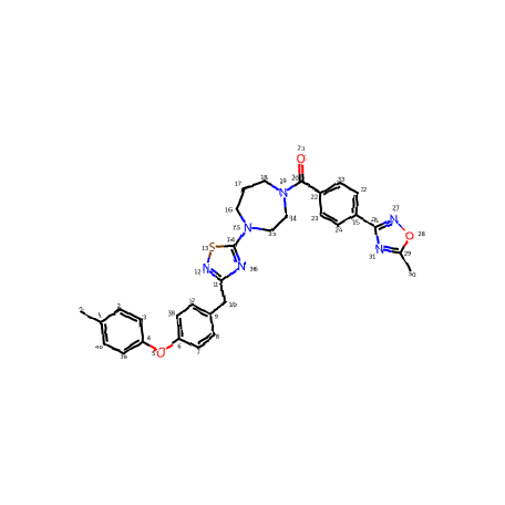 Cc1ccc(Oc2ccc(Cc3nsc(N4CCCN(C(=O)c5ccc(-c6noc(C)n6)cc5)CC4)n3)cc2)cc1